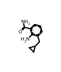 NC(=O)c1cccc(CC2CC2)c1N